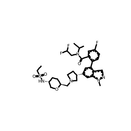 CCS(=O)(=O)N[C@@H]1CC[C@@H](CN2CC[C@H](c3cc(-c4ccc(F)cc4C(=O)N(CC(F)F)C(C)C)c4cnn(C)c4c3)C2)OC1